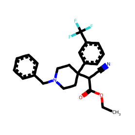 CCOC(=O)C(C#N)C1(c2cccc(C(F)(F)F)c2)CCN(Cc2ccccc2)CC1